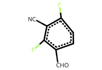 N#Cc1c(F)ccc(C=O)c1F